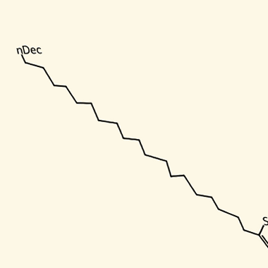 CCCCCCCCCCCCCCCCCCCCCCCCCCCCCc1cccs1